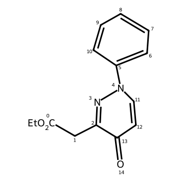 CCOC(=O)Cc1nn(-c2ccccc2)ccc1=O